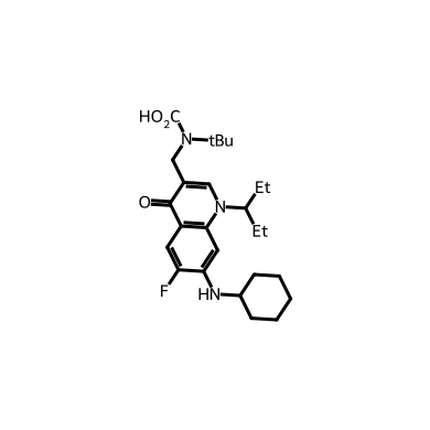 CCC(CC)n1cc(CN(C(=O)O)C(C)(C)C)c(=O)c2cc(F)c(NC3CCCCC3)cc21